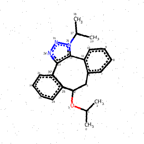 CC(C)OC1Cc2ccccc2-c2c(nnn2C(C)C)-c2ccccc21